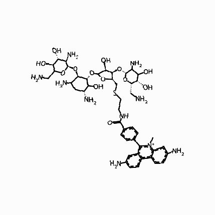 C[n+]1c(-c2ccc(C(=O)NCCSC[C@H]3OC(O[C@@H]4C(O)[C@H](N)CC(N)[C@H]4O[C@H]4OC(CN)[C@@H](O)[C@H](O)C4N)[C@@H](O)[C@H]3O[C@H]3O[C@@H](CN)[C@@H](O)C(O)C3N)cc2)c2cc(N)ccc2c2ccc(N)cc21